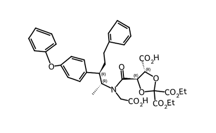 CCOC(=O)C1(C(=O)OCC)O[C@@H](C(=O)O)[C@H](C(=O)N(CC(=O)O)[C@H](C)[C@H](CCc2ccccc2)c2ccc(Oc3ccccc3)cc2)O1